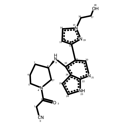 N#CCC(=O)N1CCC[C@@H](Nc2c(-c3ccn(CCO)n3)cnc3[nH]ccc23)C1